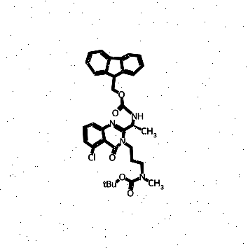 C[C@H](NC(=O)OCC1c2ccccc2-c2ccccc21)c1nc2cccc(Cl)c2c(=O)n1CCCN(C)C(=O)OC(C)(C)C